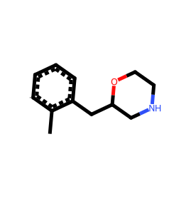 Cc1[c]cccc1CC1CNCCO1